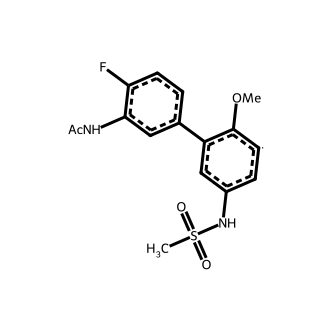 COc1[c]cc(NS(C)(=O)=O)cc1-c1ccc(F)c(NC(C)=O)c1